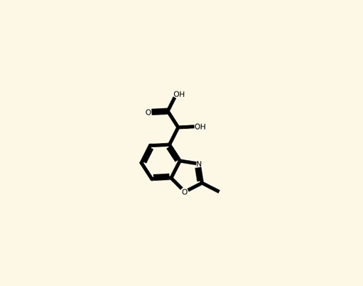 Cc1nc2c(C(O)C(=O)O)cccc2o1